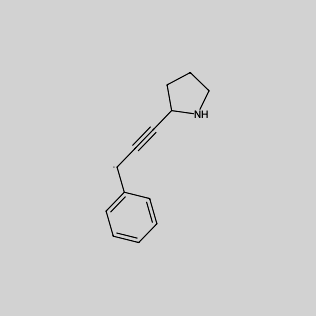 C(#CC1CCCN1)[CH]c1ccccc1